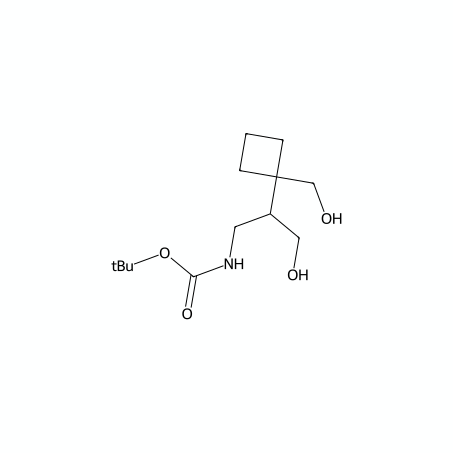 CC(C)(C)OC(=O)NCC(CO)C1(CO)CCC1